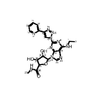 CCNc1nc(-n2cc(-c3ccccn3)nn2)nc2c1ncn2C1OC(C(=O)NC)[C@@H](O)[C@H]1O